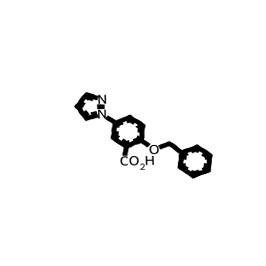 O=C(O)c1cc(-n2cccn2)ccc1OCc1ccccc1